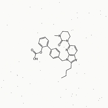 CCCCc1nc2ccc(N3CCCN(C)C3=O)nc2n1Cc1ccc(-c2ccccc2OC(=O)O)cc1